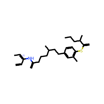 C=C/C(=C\C)NC(=C)CCCC(C)CCc1ccc(SC(=C)C(C)CCC)c(C)c1